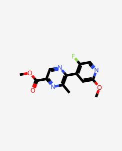 COC(=O)c1cnc(-c2cc(OC)ncc2F)c(C)n1